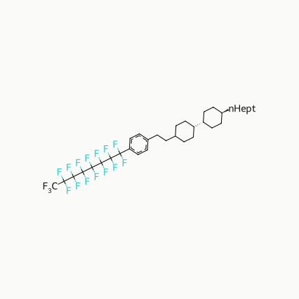 CCCCCCC[C@H]1CC[C@H](C2CCC(CCc3ccc(C(F)(F)C(F)(F)C(F)(F)C(F)(F)C(F)(F)C(F)(F)C(F)(F)C(F)(F)F)cc3)CC2)CC1